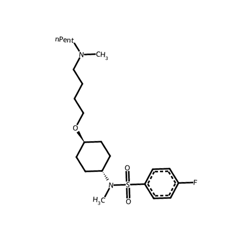 CCCCCN(C)CCCCO[C@H]1CC[C@H](N(C)S(=O)(=O)c2ccc(F)cc2)CC1